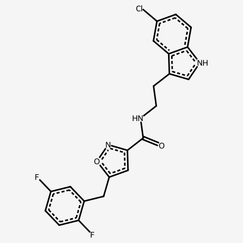 O=C(NCCc1c[nH]c2ccc(Cl)cc12)c1cc(Cc2cc(F)ccc2F)on1